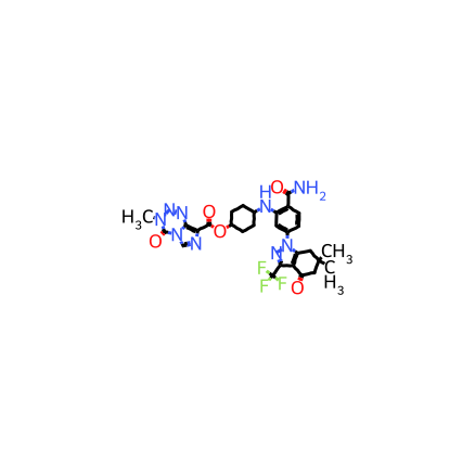 Cn1nnc2c(C(=O)OC3CCC(Nc4cc(-n5nc(C(F)(F)F)c6c5CC(C)(C)CC6=O)ccc4C(N)=O)CC3)ncn2c1=O